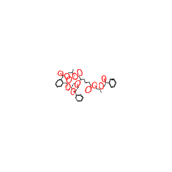 CC(COC(=O)CCCCC(=O)OC(C)COC(=O)c1ccccc1C(=O)OC(C)COCC(=O)c1ccccc1)OCC(=O)c1ccccc1